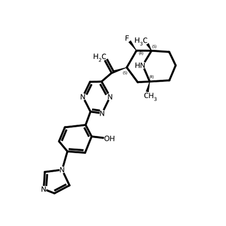 C=C(c1cnc(-c2ccc(-n3ccnc3)cc2O)nn1)[C@@H]1C[C@@]2(C)CCC[C@](C)(N2)[C@@H]1F